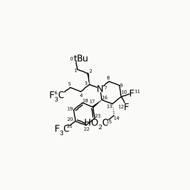 CC(C)(C)CC[C@H](CCC(F)(F)F)N1CCC(F)(F)[C@H](CC(=O)O)[C@H]1c1ccc(C(F)(F)F)cc1